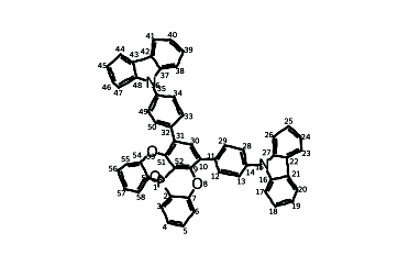 O=P12c3ccccc3Oc3c(-c4ccc(-n5c6ccccc6c6ccccc65)cc4)cc(-c4ccc(-n5c6ccccc6c6ccccc65)cc4)c(c31)Oc1ccccc12